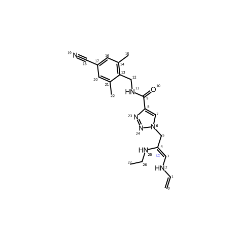 C=CN/C=C(/Cn1cc(C(=O)NCc2c(C)cc(C#N)cc2C)nn1)NCC